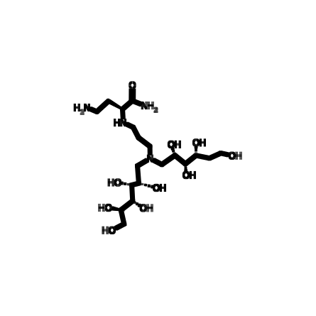 NCC[C@H](NCCCN(C[C@H](O)[C@@H](O)[C@H](O)[C@H](O)CO)C[C@H](O)[C@@H](O)[C@H](O)CCO)C(N)=O